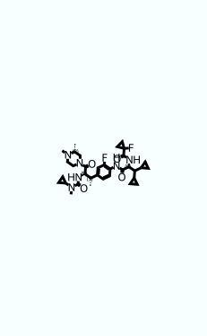 C[C@@H]1CN(C(=O)[C@H](NC(=O)N(C)C2CC2)[C@@H](C)c2ccc(NC(=O)[C@@H](NC(=O)C3(F)CC3)C(C3CC3)C3CC3)c(F)c2)CCN1C